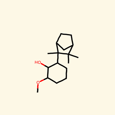 COC1CCCC(C2(C)C3CCC(C3)C2(C)C)C1O